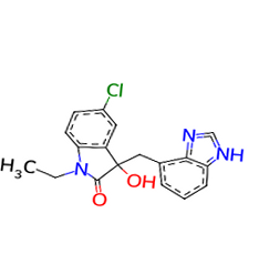 CCN1C(=O)C(O)(Cc2cccc3[nH]cnc23)c2cc(Cl)ccc21